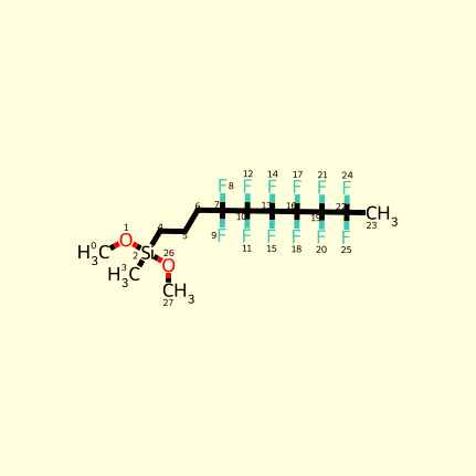 CO[Si](C)(CCCC(F)(F)C(F)(F)C(F)(F)C(F)(F)C(F)(F)C(C)(F)F)OC